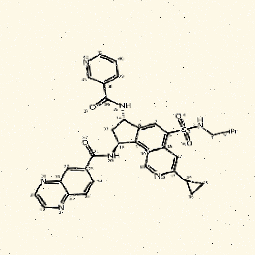 CC(C)CNS(=O)(=O)c1cc2c(c3cnc(C4CC4)cc13)[C@@H](NC(=O)c1ccc3nccnc3c1)C[C@@H]2NC(=O)c1cccnc1